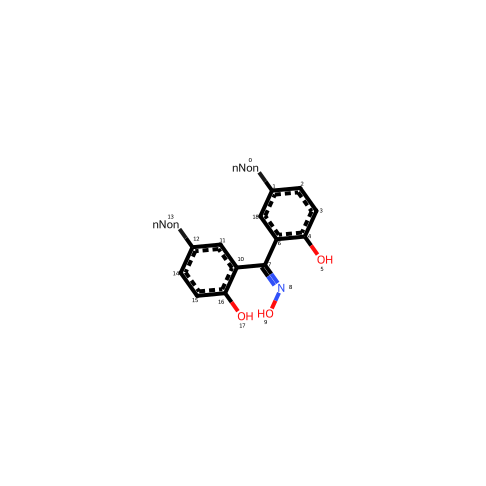 CCCCCCCCCc1ccc(O)c(C(=NO)c2cc(CCCCCCCCC)ccc2O)c1